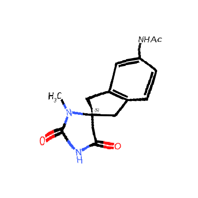 CC(=O)Nc1ccc2c(c1)C[C@@]1(C2)C(=O)NC(=O)N1C